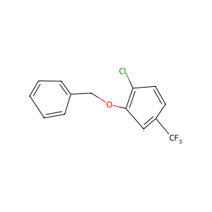 FC(F)(F)c1[c]c(OCc2ccccc2)c(Cl)cc1